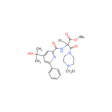 CCOC(=O)N1CCN(C(=O)C(CC)(NC(=O)c2cc(C(C)(C)O)cc(-c3ccccc3)n2)C(=O)OC(C)(C)C)CC1